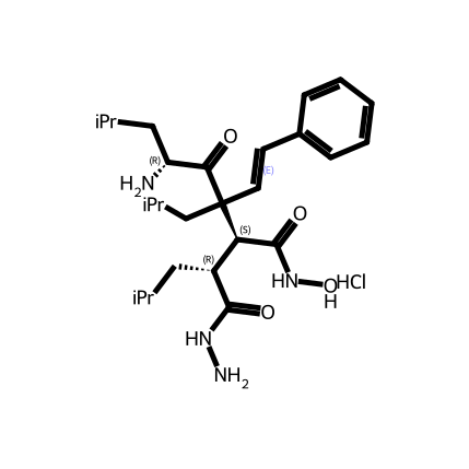 CC(C)C[C@@H](N)C(=O)C(/C=C/c1ccccc1)(CC(C)C)[C@@H](C(=O)NO)[C@@H](CC(C)C)C(=O)NN.Cl